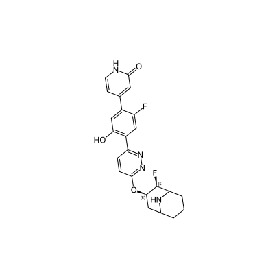 O=c1cc(-c2cc(O)c(-c3ccc(O[C@@H]4CC5CCCC(N5)[C@@H]4F)nn3)cc2F)cc[nH]1